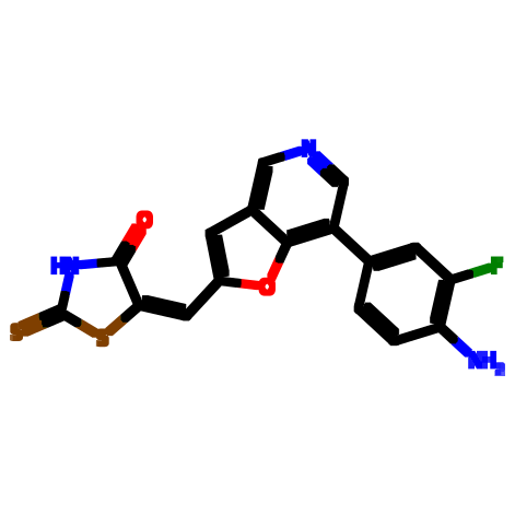 Nc1ccc(-c2cncc3cc(C=C4SC(=S)NC4=O)oc23)cc1F